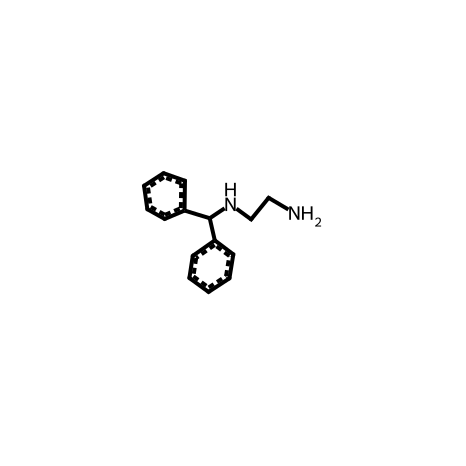 NCCNC(c1ccccc1)c1ccccc1